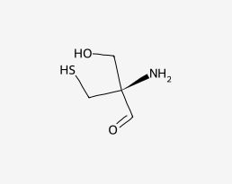 N[C@](C=O)(CO)CS